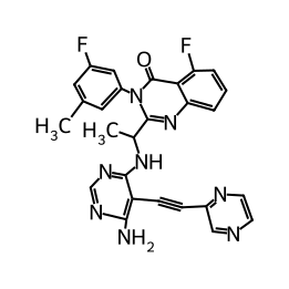 Cc1cc(F)cc(-n2c(C(C)Nc3ncnc(N)c3C#Cc3cnccn3)nc3cccc(F)c3c2=O)c1